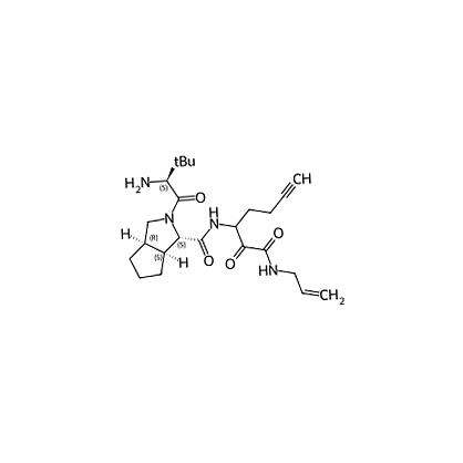 C#CCCC(NC(=O)[C@@H]1[C@H]2CCC[C@H]2CN1C(=O)[C@@H](N)C(C)(C)C)C(=O)C(=O)NCC=C